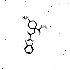 NC(=O)C1([CH]C(=O)c2nc3ccccc3s2)CCC(N)CC1